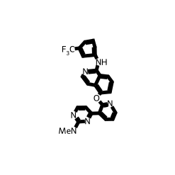 CNc1nccc(-c2cccnc2Oc2cccc3c(Nc4cccc(C(F)(F)F)c4)nccc23)n1